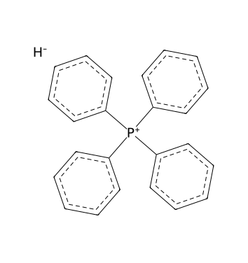 [H-].c1ccc([P+](c2ccccc2)(c2ccccc2)c2ccccc2)cc1